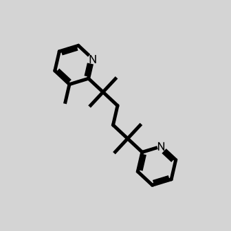 Cc1cccnc1C(C)(C)CCC(C)(C)c1ccccn1